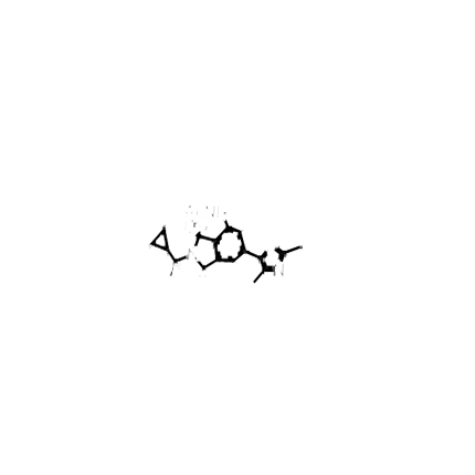 CC(=O)Nc1cc(-c2sc(I)nc2C)cc2c1C(=O)N([C@@H](C)C1CC1)C2